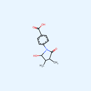 CC1C(=O)N(c2ccc(C(=O)O)cc2)C(O)C1C